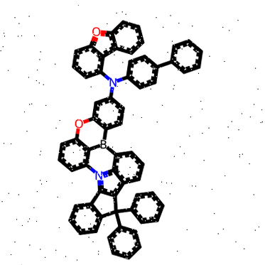 c1ccc(-c2ccc(N(c3ccc4c(c3)Oc3cccc5c3B4c3cccc4c6c(n-5c34)-c3ccccc3C6(c3ccccc3)c3ccccc3)c3cccc4oc5ccccc5c34)cc2)cc1